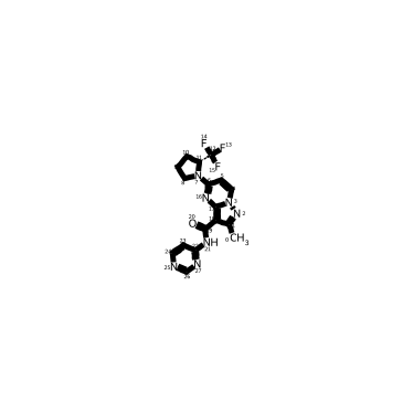 Cc1nn2ccc(N3CCC[C@@H]3C(F)(F)F)nc2c1C(=O)Nc1ccncn1